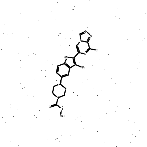 CC(C)c1c(-c2cn3cnnc3c(Cl)n2)[nH]c2ccc(C3CCN(C(=O)OC(C)(C)C)CC3)cc12